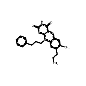 CCCc1cc2c(cc1C)nc1c(=O)[nH]c(=O)nc-1n2CCCc1ccccc1